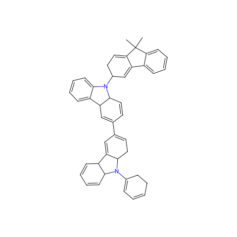 CC1(C)C2=CCC(N3c4ccccc4C4C=C(C5=CCC6C(=C5)C5C=CC=CC5N6C5=CC=CCC5)C=CC43)C=C2c2ccccc21